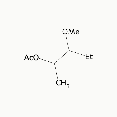 CCC(OC)C(C)OC(C)=O